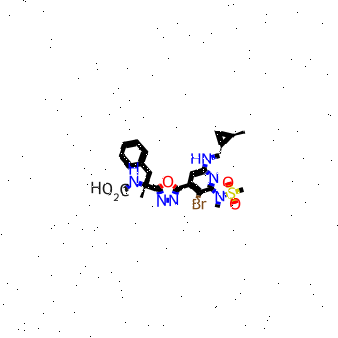 C[C@@H]1C[C@H]1CNc1cc(-c2nnc([C@@](C)(Cc3ccccc3)NC(=O)O)o2)c(Br)c(N(C)S(C)(=O)=O)n1